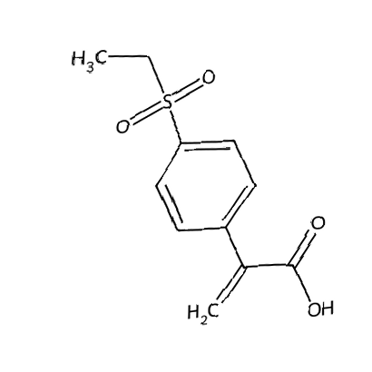 C=C(C(=O)O)c1ccc(S(=O)(=O)CC)cc1